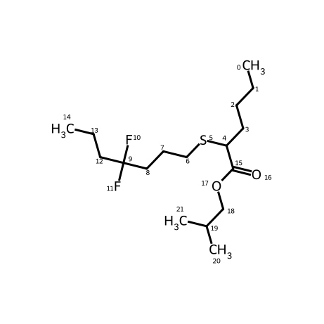 CCCCC(SCCCC(F)(F)CCC)C(=O)OCC(C)C